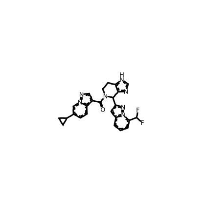 O=C(c1cnn2cc(C3CC3)ccc12)N1CCc2[nH]cnc2C1c1cc2cccc(C(F)F)n2n1